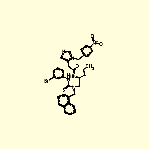 CCC[C@@H](CN(Cc1cccc2ccccc12)C(=S)Nc1cccc(Br)c1)NC(=O)Cc1cncn1Cc1ccc([N+](=O)[O-])cc1